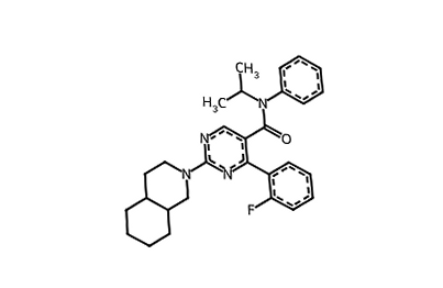 CC(C)N(C(=O)c1cnc(N2CCC3CCCCC3C2)nc1-c1ccccc1F)c1ccccc1